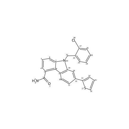 NC(=O)c1cccc2c1c1[c]cc(-c3cccs3)cc1n2Cc1ccccc1Cl